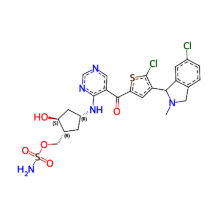 CN1Cc2ccc(Cl)cc2C1c1cc(C(=O)c2cncnc2N[C@@H]2C[C@H](COS(N)(=O)=O)[C@@H](O)C2)sc1Cl